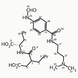 CC(C)CC(CC(=O)O)C(=O)N[C@@H](CC(C)C)C(=O)O.CN(C)CCCNC(=O)c1ccc(NC=O)cc1